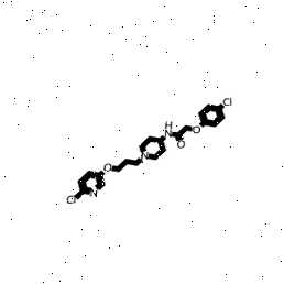 O=C(COc1ccc(Cl)cc1)NC1CCN(CCCOc2ccc(Cl)nc2)CC1